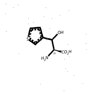 N[C@H](C(=O)O)C(O)c1ccsc1